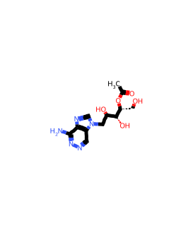 CC(=O)O[C@H](CO)[C@H](O)C(O)Cn1cnc2c(N)nncc21